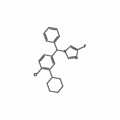 Fc1cn(C(c2ccccc2)c2ccc(Cl)c(C3CCCCC3)c2)cn1